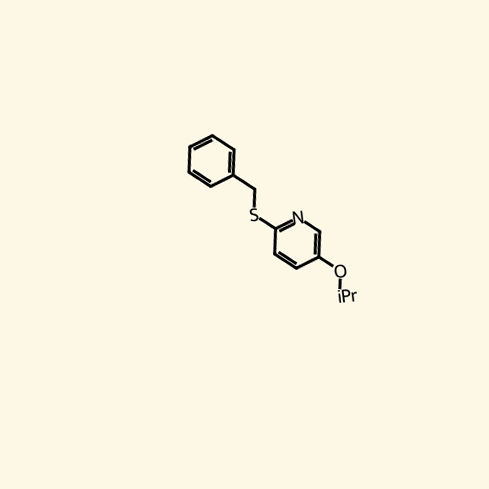 CC(C)Oc1ccc(SCc2ccccc2)nc1